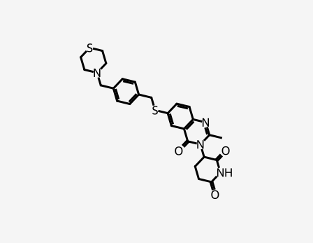 Cc1nc2ccc(SCc3ccc(CN4CCSCC4)cc3)cc2c(=O)n1C1CCC(=O)NC1=O